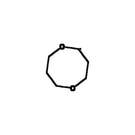 [CH]1CCOCCCO1